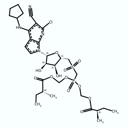 CC[C@@H](C)C(=O)OCOP(=O)(CS(=O)(=O)C[C@H]1O[C@@H](n2ccc3c(NC4CCCC4)c(C#N)c(Cl)nc32)[C@H](O)[C@@H]1O)OCOC(=O)[C@H](C)CC